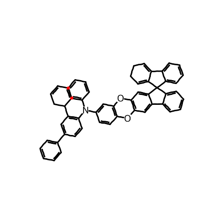 C1=CCC(c2cc(-c3ccccc3)ccc2N(c2ccccc2)c2ccc3c(c2)Oc2cc4c(cc2O3)-c2ccccc2C42C3=CCCC=C3c3ccccc32)C=C1